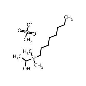 CCCCCCCC[N+](C)(C)C(C)O.CS(=O)(=O)[O-]